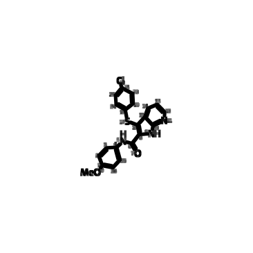 COc1ccc(NC(=O)c2[nH]c3ncccc3c2Sc2ccc(Cl)cc2)cc1